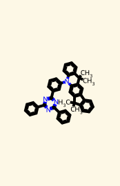 CC1(C)c2ccccc2-c2cc3c(cc21)N(c1cccc(-c2nc(-c4ccccc4)nc(-c4ccccc4)n2)c1)c1ccccc1C3(C)C